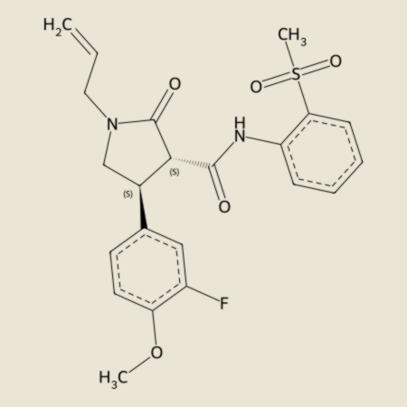 C=CCN1C[C@H](c2ccc(OC)c(F)c2)[C@@H](C(=O)Nc2ccccc2S(C)(=O)=O)C1=O